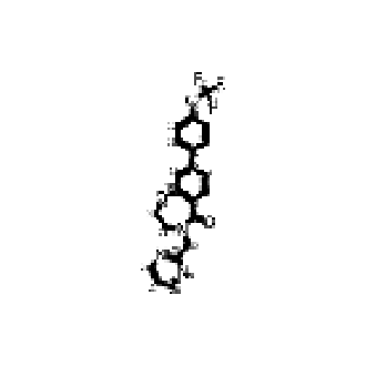 O=C1c2ccc(-c3ccc(OC(F)(F)F)cc3)cc2OCCN1Cc1ncccn1